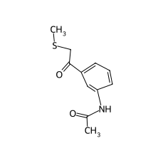 CSCC(=O)c1cccc(NC(C)=O)c1